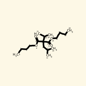 CCCCOC(=O)C(CC(C)C)(C(=O)OCCCC)C(C)C